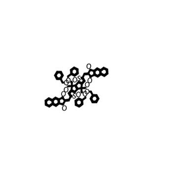 O=C1C(=Cc2cc3c(s2)C2=C(c4sc(C=C5C(=O)c6cc7ccccc7cc6C5=O)cc4C2(C(=O)OCc2ccccc2)C(=O)OCc2ccccc2)C3(C(=O)OCc2ccccc2)C(=O)OCc2ccccc2)C(=O)c2cc3ccccc3cc21